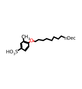 CCCCCCCCCCCCCCCCCCOc1ccc(S(=O)(=O)O)cc1C